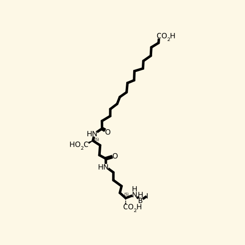 O=C(O)CCCCCCCCCCCCCCC(=O)N[C@@H](CCC(=O)NCCCC[C@H](NBI)C(=O)O)C(=O)O